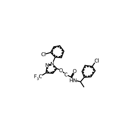 CC(NC(=O)COc1cc(C(F)(F)F)nn1-c1ccccc1Cl)c1ccc(Cl)cc1